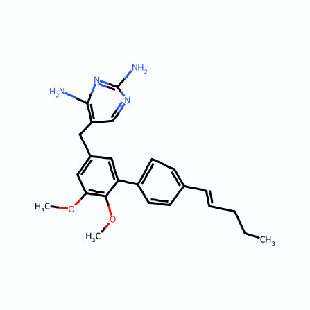 CCCC=Cc1ccc(-c2cc(Cc3cnc(N)nc3N)cc(OC)c2OC)cc1